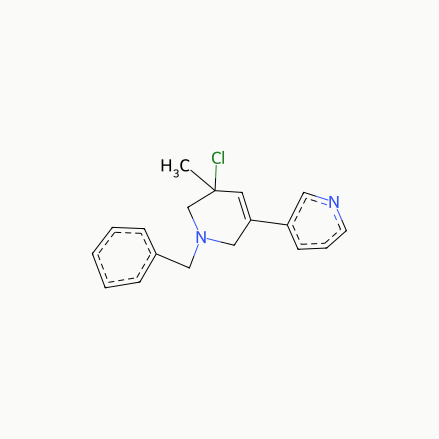 CC1(Cl)C=C(c2cccnc2)CN(Cc2ccccc2)C1